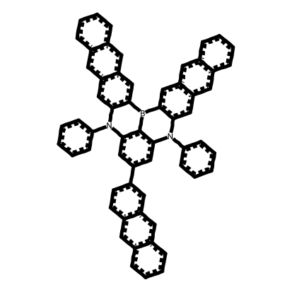 c1ccc(N2c3cc4cc5ccccc5cc4cc3B3c4cc5cc6ccccc6cc5cc4N(c4ccccc4)c4cc(-c5ccc6cc7ccccc7cc6c5)cc2c43)cc1